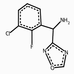 NC(c1ncon1)c1cccc(Cl)c1F